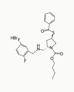 Br.CCCCOC(=O)N1C[C@H](SC(=O)c2ccccc2)C[C@H]1CNCc1cc(F)ccc1F